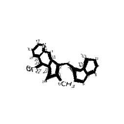 CC1=C(CC2C=Cc3ccccc32)C2=Cc3ncccc3C(Br)C2=C1